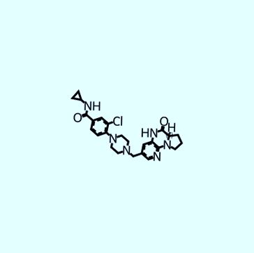 O=C(NC1CC1)c1ccc(N2CCN(Cc3cnc4c(c3)NC(=O)[C@@H]3CCCN43)CC2)c(Cl)c1